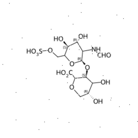 O=CNC1[C@@H](O[C@@H]2C(C(=O)O)OC[C@@H](O)C2O)OC(COS(=O)(=O)O)[C@@H](O)[C@@H]1O